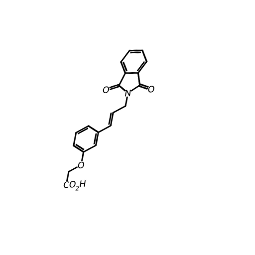 O=C(O)COc1cccc(/C=C/CN2C(=O)c3ccccc3C2=O)c1